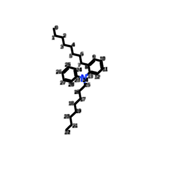 CCCCCCCCc1ccccc1N(CCCCCCCC)c1ccccc1